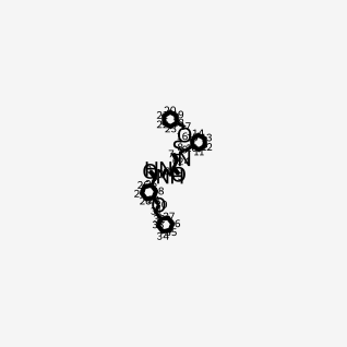 O=C(NNC(=O)c1csc(-c2ccccc2OCc2ccccc2)n1)c1cccc(OCc2ccccc2)c1